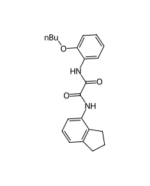 CCCCOc1ccccc1NC(=O)C(=O)Nc1cccc2c1CCC2